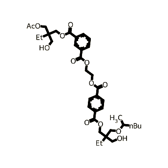 CCCCC(C)OCC(CC)(CO)COC(=O)c1ccc(C(=O)OCCOC(=O)c2cccc(C(=O)OCC(CC)(CO)COC(C)=O)c2)cc1